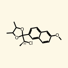 COc1ccc2cc(C3([C@H](C)Cl)OC(C)C(C)O3)ccc2c1